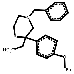 CC(C)(C)Oc1ccc(C2(CC(=O)O)CN(Cc3ccccc3)CCS2)cc1